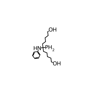 OCCCCCC(P)(CCCCCO)Nc1ccccc1